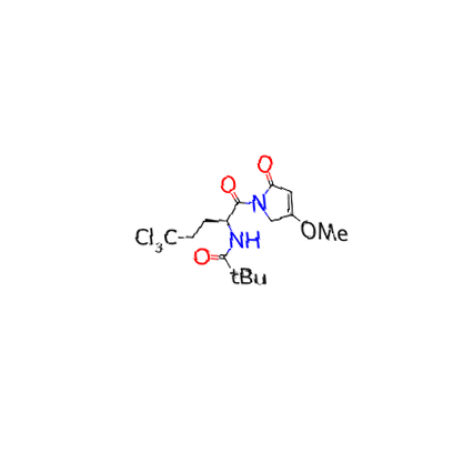 COC1=CC(=O)N(C(=O)[C@H](CCC(Cl)(Cl)Cl)NC(=O)C(C)(C)C)C1